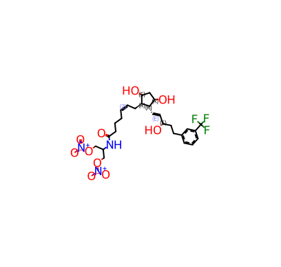 O=C(CCC/C=C\C[C@@H]1[C@@H](/C=C/[C@@H](O)CCc2cccc(C(F)(F)F)c2)[C@H](O)C[C@@H]1O)NC(CO[N+](=O)[O-])CO[N+](=O)[O-]